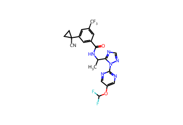 CC(NC(=O)c1cc(C(F)(F)F)cc(C2(C#N)CC2)c1)c1ncnn1-c1ncc(OC(F)F)cn1